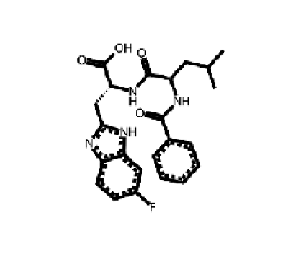 CC(C)CC(NC(=O)c1ccccc1)C(=O)N[C@H](Cc1nc2ccc(F)cc2[nH]1)C(=O)O